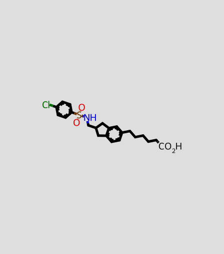 O=C(O)CCCCCc1ccc2c(c1)CC(CNS(=O)(=O)c1ccc(Cl)cc1)C2